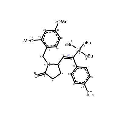 CCC[CH2][Sn]([CH2]CCC)([CH2]CCC)/[C](=C/C1CCC(=O)N1Cc1ccc(OC)cc1OC)c1ccc(C(F)(F)F)cc1